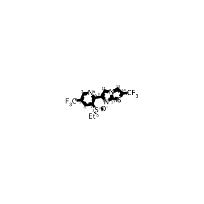 CC[S+]([O-])c1cc(C(F)(F)F)cnc1-c1cn2cc(C(F)(F)F)sc2n1